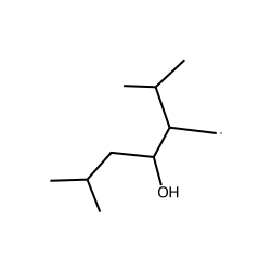 [CH2]C(C(C)C)C(O)CC(C)C